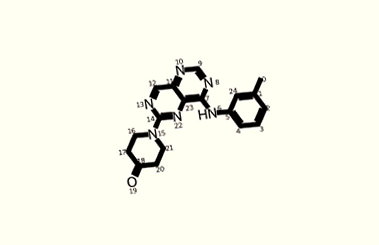 Cc1cccc(Nc2ncnc3cnc(N4CCC(=O)CC4)nc23)c1